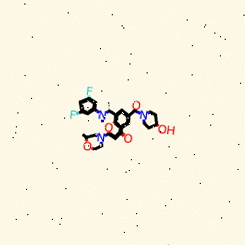 CC1CN(c2cc(=O)c3cc(C(=O)N4CCC(O)CC4)cc([C@@H](C)N(C)c4cc(F)cc(F)c4)c3o2)CCO1